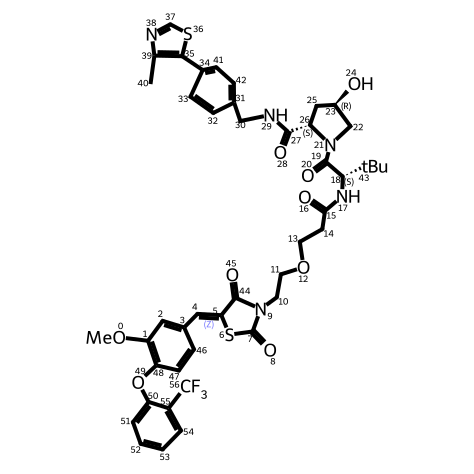 COc1cc(/C=C2\SC(=O)N(CCOCCC(=O)N[C@H](C(=O)N3C[C@H](O)C[C@H]3C(=O)NCc3ccc(-c4scnc4C)cc3)C(C)(C)C)C2=O)ccc1Oc1ccccc1C(F)(F)F